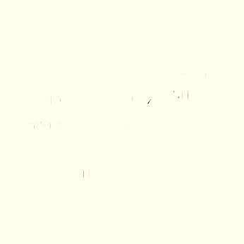 CCCCC[C@H](O)CCC(OC[C@H]1CCC(=O)N1)c1ccc(C(=O)O)s1